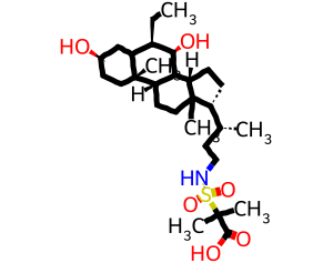 CC[C@@H]1C2C[C@H](O)CC[C@@]2(C)[C@H]2CCC3(C)[C@@H]([C@H](C)CCNS(=O)(=O)C(C)(C)C(=O)O)CC[C@H]3C2[C@@H]1O